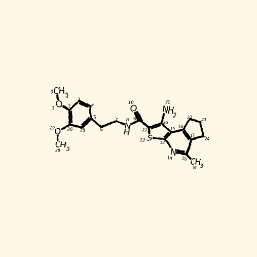 COc1ccc(CCNC(=O)c2sc3nc(C)c4c(c3c2N)CCC4)cc1OC